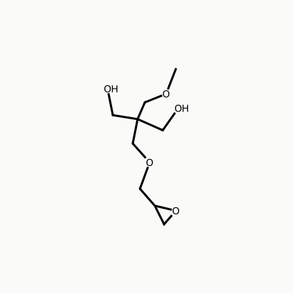 COCC(CO)(CO)COCC1CO1